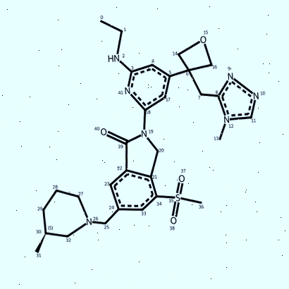 CCNc1cc(C2(Cc3nncn3C)COC2)cc(N2Cc3c(cc(CN4CCC[C@H](C)C4)cc3S(C)(=O)=O)C2=O)n1